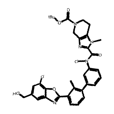 Cc1c(-c2cccc(N(Cl)C(=O)c3nc4c(n3C)CCN(C(=O)OC(C)(C)C)C4)c2)cccc1-c1nc2cc(CO)cc(Cl)c2o1